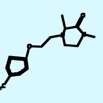 CC1C(=O)N(C)CCN1CCOc1ccc(C(=O)O)cc1